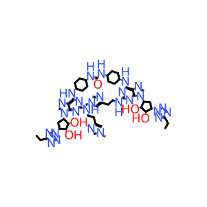 CCc1nnn([C@H]2C[C@@H](n3cnc4c(N[C@H]5CC[C@H](NC(=O)N[C@H]6CC[C@H](Nc7nc(NCCc8cn(C)cn8)nc8c7ncn8[C@@H]7C[C@H](n8nnc(CC)n8)[C@@H](O)[C@H]7O)CC6)CC5)nc(NCCc5cn(C)cn5)nc43)[C@H](O)[C@@H]2O)n1